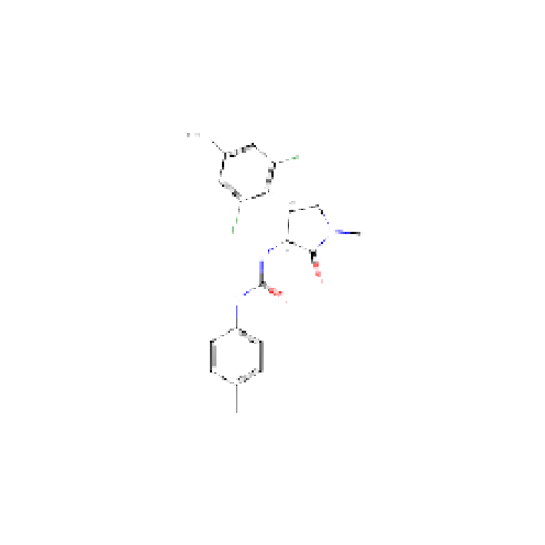 COc1cc(F)c([C@@H]2CN(C)C(=O)[C@H]2NC(=O)Nc2ccc(C)cc2)c(F)c1